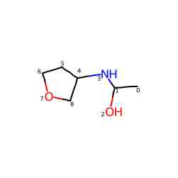 CC(O)NC1CCOC1